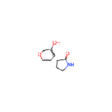 O=C1CCCN1.OC1=CC=COC1